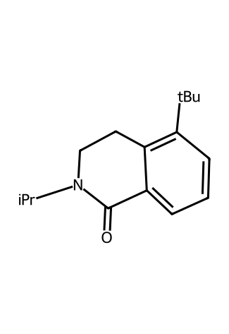 CC(C)N1CCc2c(cccc2C(C)(C)C)C1=O